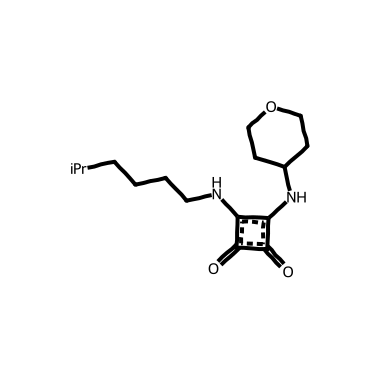 CC(C)CCCCNc1c(NC2CCOCC2)c(=O)c1=O